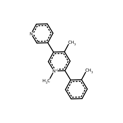 Cc1cc(-c2ccccc2C)[n+](C)cc1-c1cccnc1